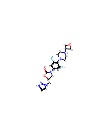 O=C1O[C@H](Cn2ccnn2)CN1c1cc(F)c(N2CCN(C3COC3)CC2)c(F)c1